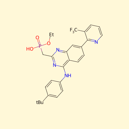 CCOP(=O)(O)Cc1nc(Nc2ccc(C(C)(C)C)cc2)c2ccc(-c3ncccc3C(F)(F)F)cc2n1